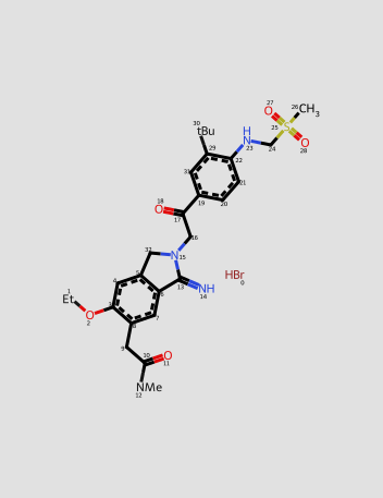 Br.CCOc1cc2c(cc1CC(=O)NC)C(=N)N(CC(=O)c1ccc(NCS(C)(=O)=O)c(C(C)(C)C)c1)C2